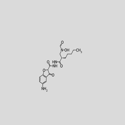 CCCCC[C@H](CN(O)C=O)C(=O)NNC(=O)C1Oc2ccc(N)cc2C1=O